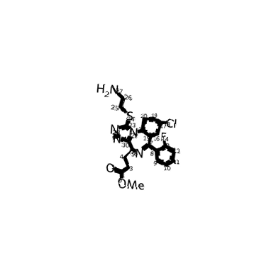 COC(=O)CC[C@@H]1N=C(c2ccccc2F)c2cc(Cl)ccc2-n2c(SCCN)nnc21